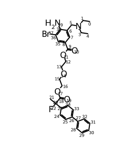 CCN(CC)Cc1cc(C(=O)OCCOCCOC(=O)C(C)(F)c2ccc(-c3ccccc3)cc2)cc(Br)c1N